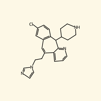 Clc1ccc2c(c1)C=C(CCn1ccnc1)c1cccnc1C2C1CCNCC1